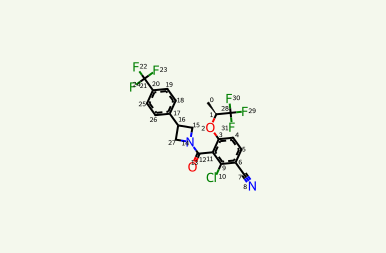 C[C@H](Oc1ccc(C#N)c(Cl)c1C(=O)N1CC(c2ccc(C(F)(F)F)cc2)C1)C(F)(F)F